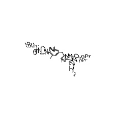 CCCC(CCC)Oc1nc(N)c2ncc(Cc3cnc(N4CCN(C(=O)[CH]C(C)(C)C)CC4)c(C)c3)n2n1